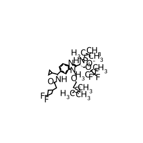 CC(C)(C)[S@+]([O-])N[C@H](COC(C)(C)C(F)(F)F)c1nc2ccc([C@H](NC(=O)CC3CC(F)(F)C3)C3CC3)cc2n1COCC[Si](C)(C)C